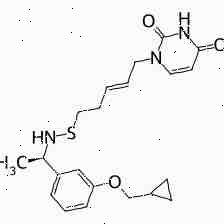 C[C@@H](NSCC/C=C/Cn1ccc(=O)[nH]c1=O)c1cccc(OCC2CC2)c1